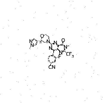 Cn1cc([C@H]2CN(c3nc(-c4ccc(C#N)cc4F)c4nc(C(F)(F)F)n(C)c(=O)c4n3)CCO2)cn1